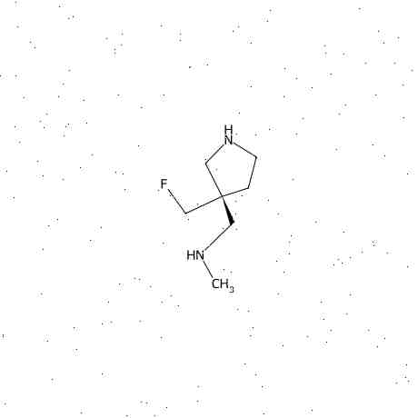 CNC[C@]1(CF)CCNC1